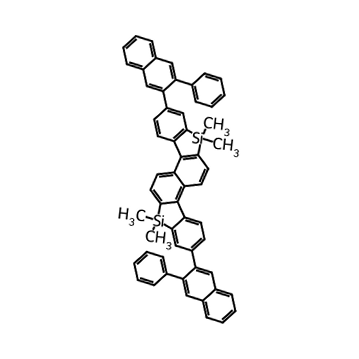 C[Si]1(C)c2cc(-c3cc4ccccc4cc3-c3ccccc3)ccc2-c2c1ccc1c3c(ccc21)[Si](C)(C)c1cc(-c2cc4ccccc4cc2-c2ccccc2)ccc1-3